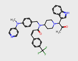 CC(=O)C(c1c[nH]c2ccccc12)N1CCC(N(Cc2ccc(N(C)c3ccncc3)cc2)C(=O)C=Cc2ccc(C(F)(F)F)cc2)CC1